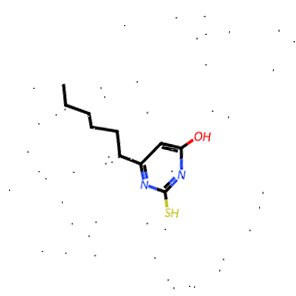 CCCCCCc1cc(O)nc(S)n1